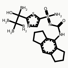 BC(B)(B)C(B)(O)c1ncc(S(N)(=O)=NC(=O)Nc2c3c(cc4c2CCC4)CCC3)s1